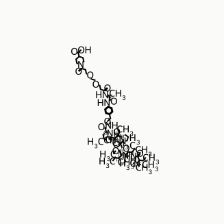 CC[C@H](C)[C@@H]([C@@H](CC(=O)N1CCC[C@H]1[C@H](OC)[C@@H](C)C(=O)N[C@@H](CC(C)C)C(=O)NOCc1ccc(NC(=O)[C@@H](C)NC(=O)CCOCCOCCC(=O)N2CCC(C(=O)O)CC2)cc1)OC)N(C)C(=O)[C@@H](NC(=O)C(C(C)C)N(C)C)C(C)C